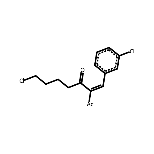 CC(=O)C(=Cc1cccc(Cl)c1)C(=O)CCCCCl